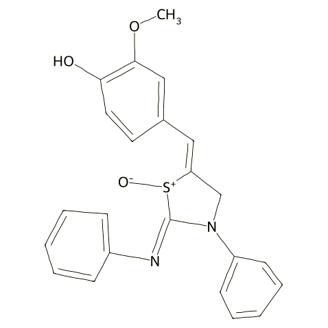 COc1cc(C=C2CN(c3ccccc3)C(=Nc3ccccc3)[S+]2[O-])ccc1O